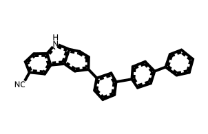 N#Cc1ccc2[nH]c3ccc(-c4cccc(-c5ccc(-c6ccccc6)cc5)c4)cc3c2c1